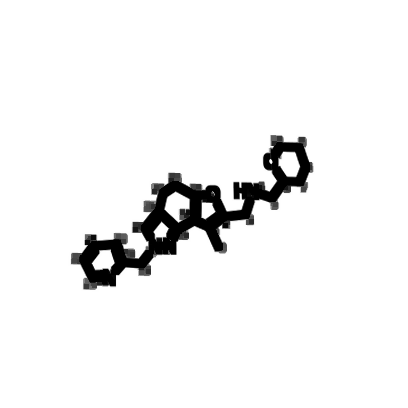 Cc1c(CNCC2CCCCO2)oc2c1-c1nn(Cc3ccccn3)cc1CC2